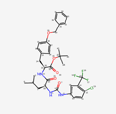 CC(C)C[C@H](NC(=O)Nc1ccc(Cl)c(C(F)(F)F)c1)C(=O)N[C@@H](Cc1ccc(OCc2ccccc2)cc1)C(=O)OC(C)(C)C